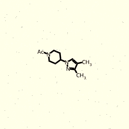 CC(=O)N1CCC(n2cc(C)c(C)n2)CC1